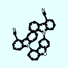 N#Cc1cccc2c1c1ccccc1n2-c1ccc2oc3cccc(-n4c5ccccc5c5c(C#N)cccc54)c3c2c1